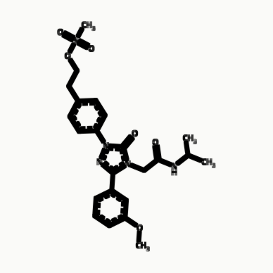 COc1cccc(-c2nn(-c3ccc(CCOS(C)(=O)=O)cc3)c(=O)n2CC(=O)NC(C)C)c1